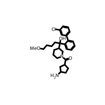 COCCCCC(O)(c1ccccc1-c1cccc(Cl)c1)C1CCCN(C(=O)C2CCC(N)C2)C1